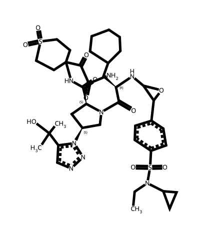 CCN(C1CC1)S(=O)(=O)c1ccc(C2OC2N[C@H](CC2CCCCC2)C(=O)N2C[C@@H](n3nncc3C(C)(C)O)C[C@H]2C(=O)NC2(C(=O)C(N)=O)CCS(=O)(=O)CC2)cc1